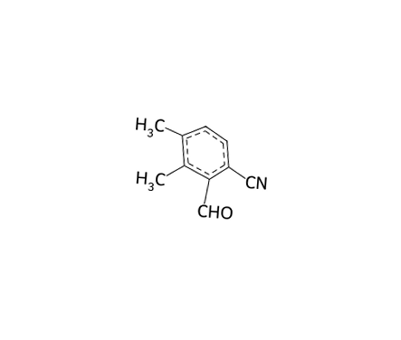 Cc1ccc(C#N)c(C=O)c1C